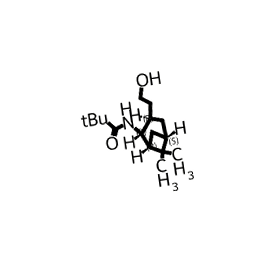 CC(C)(C)C(=O)N[C@@H]1[C@@H](CCO)C[C@H]2C[C@@H]1C2(C)C